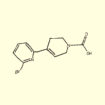 O=C(O)N1CC=C(c2cccc(Br)n2)CC1